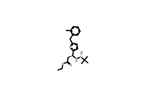 CCOC(=O)C[C@H](N[S@+]([O-])C(C)(C)C)c1ccc(Cc2ccccc2C)s1